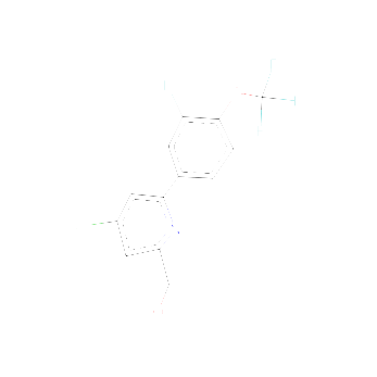 OCc1cc(Cl)cc(-c2ccc(OC(F)(F)F)c(F)c2)n1